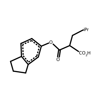 CC(C)CC(C(=O)O)C(=O)Oc1ccc2c(c1)CCC2